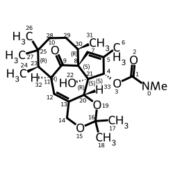 CNC(=O)O[C@H]1C(C)=C[C@]23C(=O)[C@@H](C=C4COC(C)(C)O[C@H]4[C@]12O)[C@@H](C)C(C)(C)CC[C@H]3C